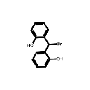 CC(C)C(c1ccccc1O)c1ccccc1O